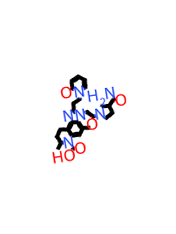 Cc1cc2c(c3nc(CCn4ccccc4=O)n(CC(=O)N4CCC(C(N)=O)C4)c13)CCC(C)N2C(=O)O